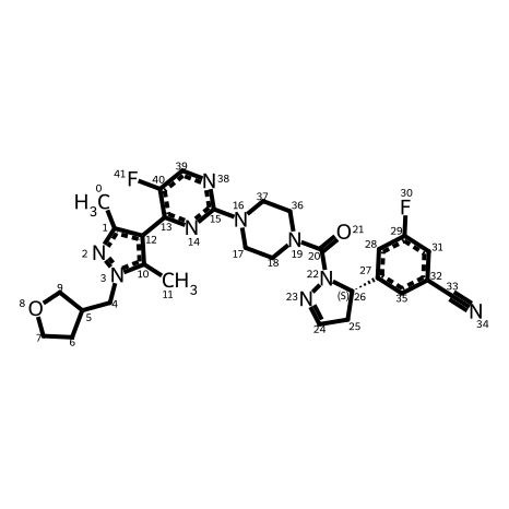 Cc1nn(CC2CCOC2)c(C)c1-c1nc(N2CCN(C(=O)N3N=CC[C@H]3c3cc(F)cc(C#N)c3)CC2)ncc1F